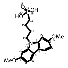 COc1ccc2c3ccc(OC)cc3n(CCCCP(=O)(O)O)c2c1